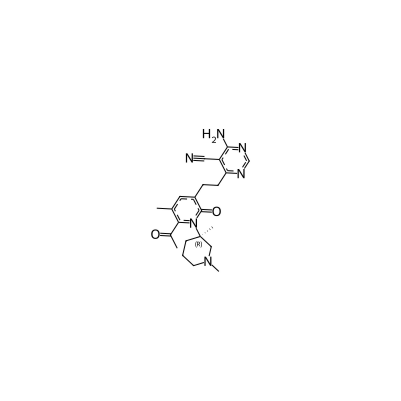 CC(=O)c1c(C)cc(CCc2ncnc(N)c2C#N)c(=O)n1[C@]1(C)CCCN(C)C1